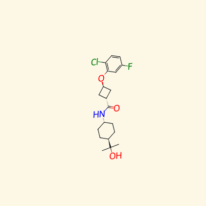 CC(C)(O)[C@H]1CC[C@H](NC(=O)[C@H]2C[C@H](Oc3cc(F)ccc3Cl)C2)CC1